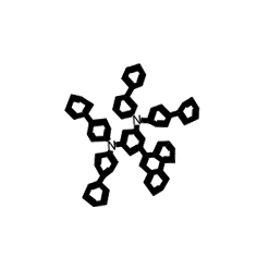 c1ccc(-c2ccc(N(c3ccc(-c4ccccc4)cc3)c3cc(-c4cc5ccccc5c5ccccc45)cc(N(c4ccc(-c5ccccc5)cc4)c4cccc(-c5ccccc5)c4)c3)cc2)cc1